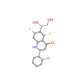 O=c1cc(-c2ccccc2Cl)[nH]c2cc(F)c(C(O)CO)c(F)c12